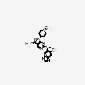 Cc1cc2ncnn2cc1Nc1ncc2c(C)nn(C3CCN(C)CC3)c2n1